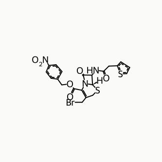 O=C(Cc1cccs1)NC1C(=O)N2C(C(=O)OCc3ccc([N+](=O)[O-])cc3)=C(CBr)CS[C@@H]12